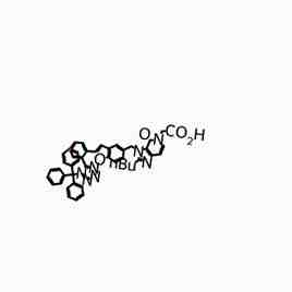 CCCCc1nc2ccn(CC(=O)O)c(=O)c2n1Cc1ccc2oc(-c3ccccc3-c3nnnn3C(c3ccccc3)(c3ccccc3)c3ccccc3)cc2c1